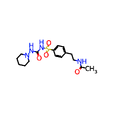 CC(=O)NCCc1ccc(S(=O)(=O)NC(=O)NN2CCCCC2)cc1